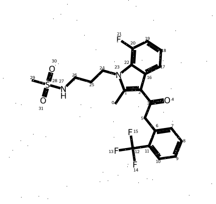 Cc1c(C(=O)Cc2ccccc2C(F)(F)F)c2cccc(F)c2n1CCCNS(C)(=O)=O